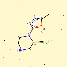 Cc1nnc(N2CCNC[C@@H]2C)o1.Cl